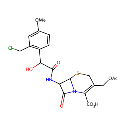 COc1ccc(C(O)C(=O)NC2C(=O)N3C(C(=O)O)=C(COC(C)=O)CSC23)c(CCl)c1